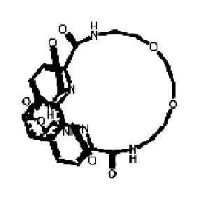 O=C1NCCOCCOCCNC(=O)C2=CC=c3ccc4c5c3N2C(=O)NCCOCCOCCNC(=O)N5C1=CC=4